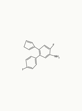 Nc1cc(-c2ccc(I)cc2)c(C2=CCC=C2)cc1F